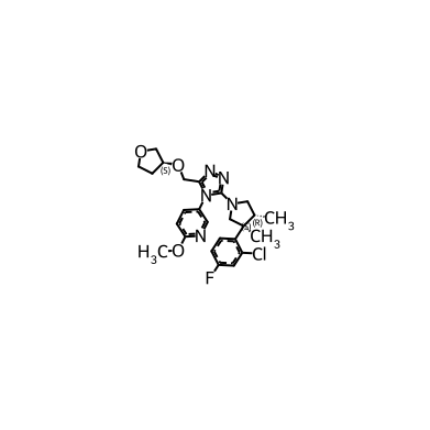 COc1ccc(-n2c(CO[C@H]3CCOC3)nnc2N2C[C@H](C)[C@@](C)(c3ccc(F)cc3Cl)C2)cn1